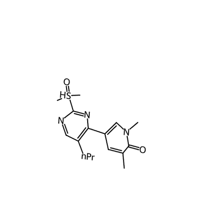 CCCc1cnc([SH](C)(C)=O)nc1-c1cc(C)c(=O)n(C)c1